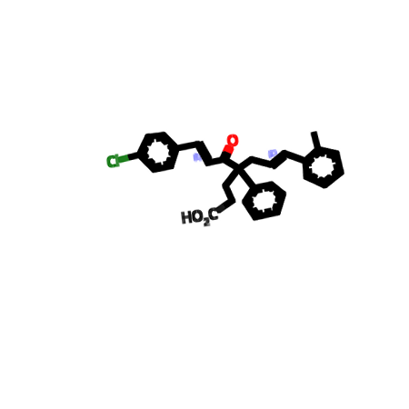 Cc1ccccc1/C=C/CC(CCC(=O)O)(C(=O)/C=C/c1ccc(Cl)cc1)c1ccccc1